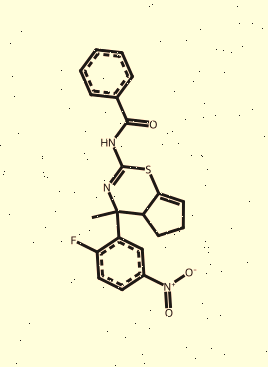 CC1(c2cc([N+](=O)[O-])ccc2F)N=C(NC(=O)c2ccccc2)SC2=CCCC21